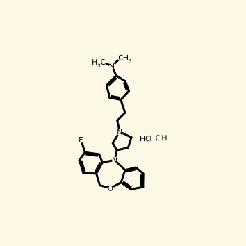 CN(C)c1ccc(CCN2CCC(N3c4cc(F)ccc4COc4ccccc43)C2)cc1.Cl.Cl